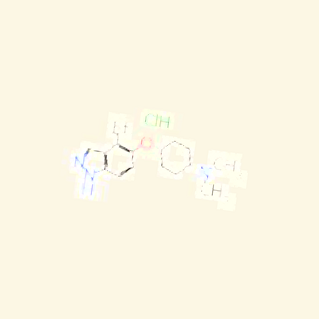 CCc1c(O[C@H]2CC[C@@H](N(C)C)CC2)ccc2[nH]ncc12.Cl